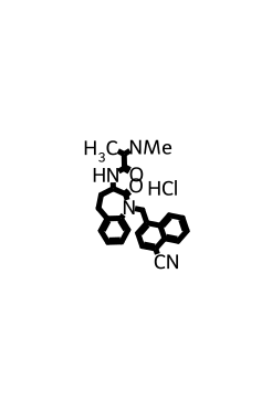 CNC(C)C(=O)NC1CCc2ccccc2N(Cc2ccc(C#N)c3ccccc23)C1=O.Cl